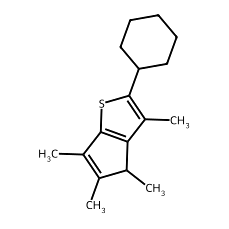 CC1=C(C)C(C)c2c1sc(C1CCCCC1)c2C